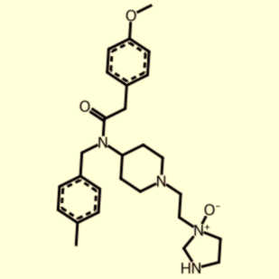 COc1ccc(CC(=O)N(Cc2ccc(C)cc2)C2CCN(CC[N+]3([O-])CCNC3)CC2)cc1